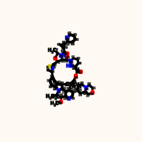 CCO[C@@H]1C2=NC(CS2)c2ccc3c(c2)c(c(-c2cc([C@@H]4CCN5CCOCC5C4)cnc2[C@H](C)OC)n3CC)CC(C)(C)COC(=O)[C@@H]2CCCN(N2)C(=O)[C@H]1NC(=O)[C@H]1C[C@@H]1c1ccccn1